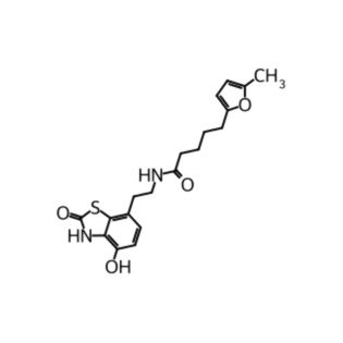 Cc1ccc(CCCCC(=O)NCCc2ccc(O)c3[nH]c(=O)sc23)o1